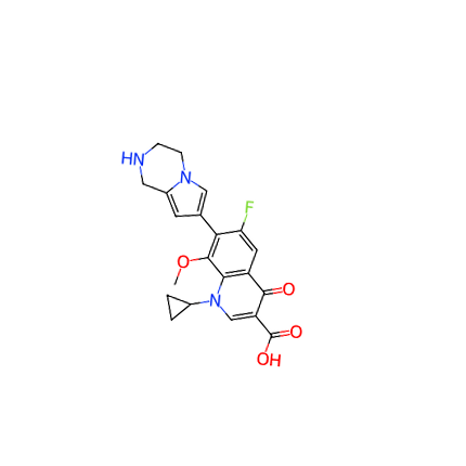 COc1c(-c2cc3n(c2)CCNC3)c(F)cc2c(=O)c(C(=O)O)cn(C3CC3)c12